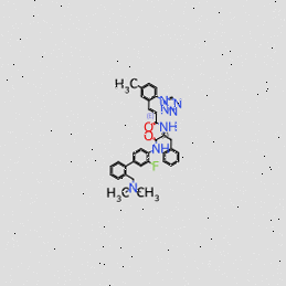 Cc1ccc(-n2cnnn2)c(/C=C/C(=O)N[C@@H](Cc2ccccc2)C(=O)Nc2ccc(-c3ccccc3CN(C)C)cc2F)c1